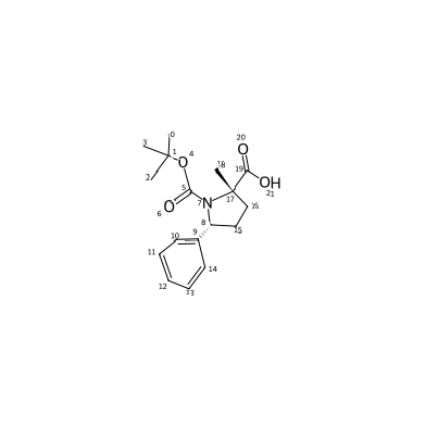 CC(C)(C)OC(=O)N1[C@@H](c2ccccc2)CC[C@@]1(C)C(=O)O